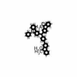 CC1(C)c2ccccc2-c2ccc(-c3ccc(C(c4ccc5c(c4)C(C)(C)c4ccccc4-5)c4ccc5c(c4)c4ccccc4n5-c4ccccc4)cc3)cc21